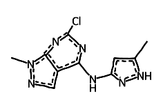 Cc1cc(Nc2nc(Cl)nc3c2cnn3C)n[nH]1